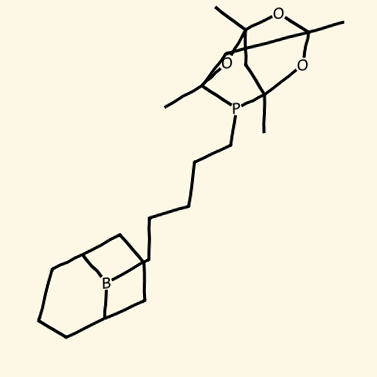 CC12CC3(C)OC(C)(CC(C)(O1)P3CCCCCB1C3CCCC1CCC3)O2